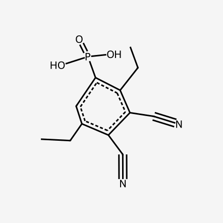 CCc1cc(P(=O)(O)O)c(CC)c(C#N)c1C#N